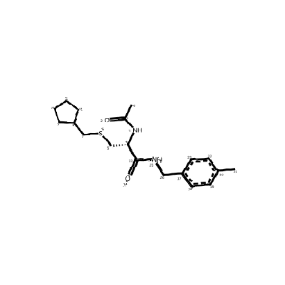 CC(=O)N[C@@H](CSCC1CCCC1)C(=O)NCc1ccc(C)cc1